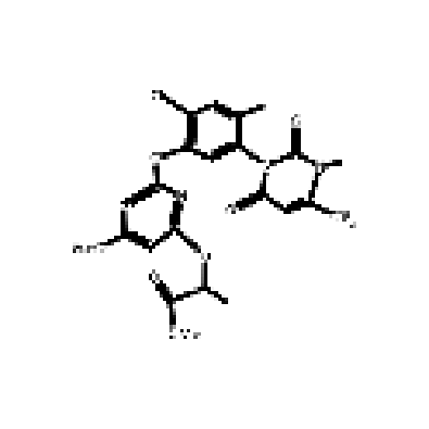 COC(=O)C(C)Oc1cc(OC)nc(Oc2cc(-n3c(=O)cc(C(F)(F)F)n(C)c3=O)c(F)cc2Cl)n1